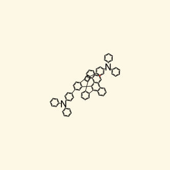 c1ccc(N(c2ccccc2)c2ccc(-c3ccc4c(c3)C3(c5cc(-c6ccc(N(c7ccccc7)c7ccccc7)cc6)ccc5-4)c4ccccc4-c4c3c3c5ccccc5ccc3c3ccccc43)cc2)cc1